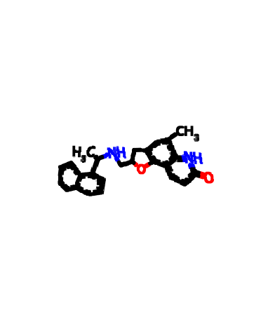 Cc1cc2c(c3ccc(=O)[nH]c13)OC(CNC(C)c1cccc3ccccc13)C2